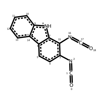 O=C=Nc1ccc2c([nH]c3ccccc32)c1N=C=O